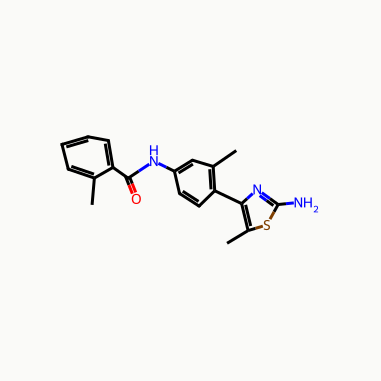 Cc1ccccc1C(=O)Nc1ccc(-c2nc(N)sc2C)c(C)c1